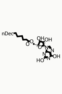 CCCCCCCCCCCCCCCC(=O)OC[C@H]1O[C@@H](n2cnc3c(O)nc(O)nc32)[C@H](O)[C@@H]1O